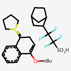 CCCCOC1=CCC(=S2CCCC2)c2ccccc21.O=S(=O)(O)C(F)(F)C(F)(F)C1CC2CCC1C2